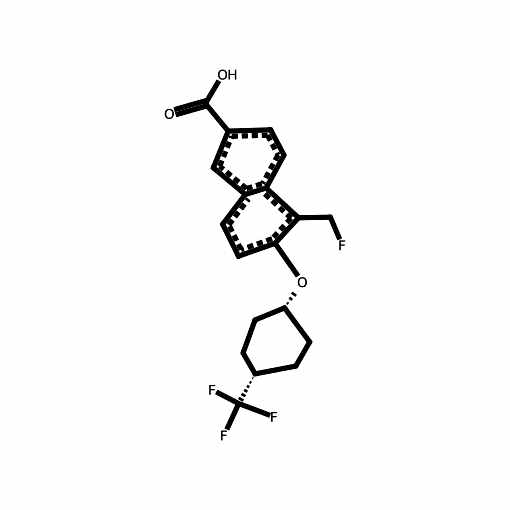 O=C(O)c1ccc2c(CF)c(O[C@H]3CC[C@@H](C(F)(F)F)CC3)ccc2c1